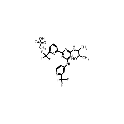 CC(O)C(C)Nc1nc(Nc2ccnc(C(F)(F)F)c2)nc(-c2cccc(C(F)(F)F)n2)n1.CS(=O)(=O)O